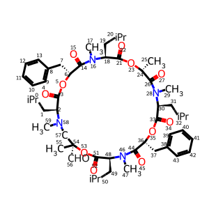 CC(C)C[C@H]1C(=O)O[C@H](Cc2ccccc2)C(=O)N(C)[C@@H](CC(C)C)C(=O)O[C@H](C)C(=O)N(C)[C@@H](CC(C)C)C(=O)O[C@H](Cc2ccccc2)C(=O)N(C)[C@@H](CC(C)C)C(=O)O[C@](C)(C=O)CN1C